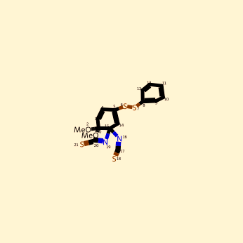 COC1(OC)C=CC(SSc2ccccc2)=CC1(N=C=S)N=C=S